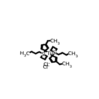 CCCC[Si]1([C]2([Ti+2][C]3([Si]4(CCCC)CCC4)C=CC(CC)=C3)C=CC(CC)=C2)CCC1.[Cl-].[Cl-]